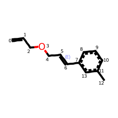 C=CCOC/C=C/c1cccc(C)c1